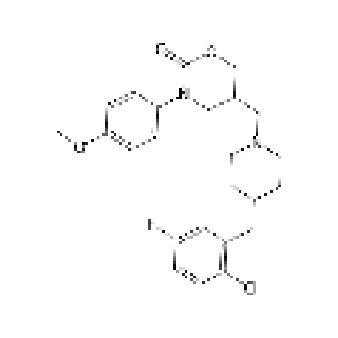 COc1ccc(N2CC(CN3CCC(Cc4cc(F)ccc4Cl)CC3)COC2=O)cc1